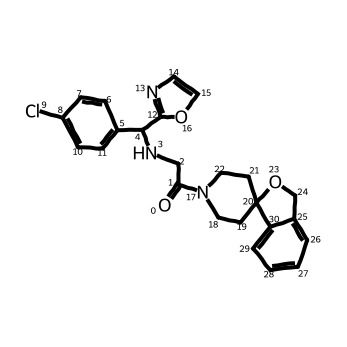 O=C(CNC(c1ccc(Cl)cc1)c1ncco1)N1CCC2(CC1)OCc1ccccc12